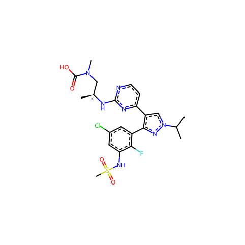 CC(C)n1cc(-c2ccnc(N[C@@H](C)CN(C)C(=O)O)n2)c(-c2cc(Cl)cc(NS(C)(=O)=O)c2F)n1